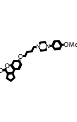 COc1ccc(N2CCN(CCCCO[C@@H]3C=Cc4c(oc(=O)c5c4CCC5)C3)CC2)cc1